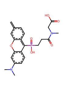 C=c1ccc2c(c1)Oc1cc(N(C)C)ccc1C=2P(=O)(O)CCC(=O)N(C)CC(=O)O